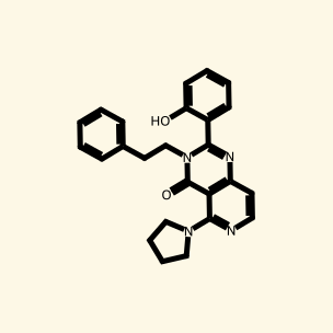 O=c1c2c(N3CCCC3)nccc2nc(-c2ccccc2O)n1CCc1ccccc1